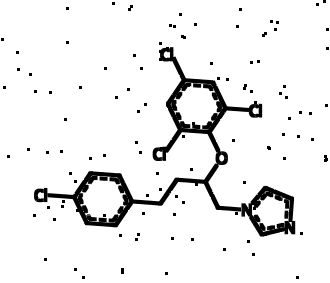 Clc1ccc(CCC(Cn2ccnc2)Oc2c(Cl)cc(Cl)cc2Cl)cc1